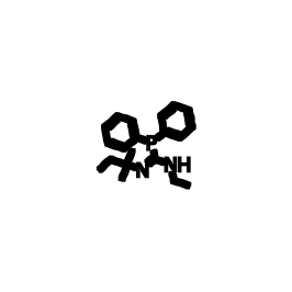 CCN/C(=N/C(C)(C)CC)P(c1ccccc1)c1ccccc1